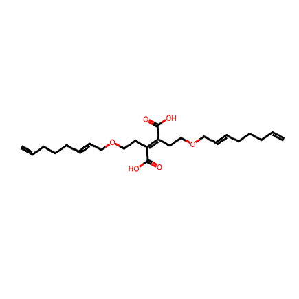 C=CCCCC=CCOCC/C(C(=O)O)=C(/CCOCC=CCCCC=C)C(=O)O